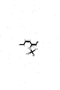 C/C=C(\C=C/CC)OC(F)(F)F